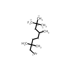 CC(C)CC(C)(C)CCC(C)CC(C)(C)C(F)(F)F